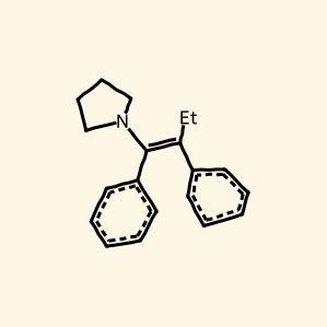 CCC(=C(c1ccccc1)N1CCCC1)c1ccccc1